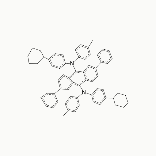 Cc1ccc(N(c2ccc(C3CCCCC3)cc2)c2c3ccc(-c4ccccc4)cc3c(N(c3ccc(C)cc3)c3ccc(C4CCCCC4)cc3)c3ccc(-c4ccccc4)cc23)cc1